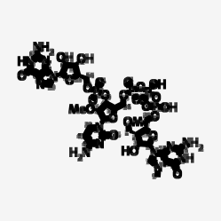 COC[C@H]1[C@@H](O)[C@H](n2c[n+](C)c3c(=O)[nH]c(N)nc32)O[C@@H]1COP(=O)(O)OP(=O)(O)OP(=O)(O)OCC1O[C@@H](n2ccc(N)nc2=O)[C@H](OC)[C@@H]1OP(=O)([O-])OC[C@H]1O[C@@H](n2cnc3c(=O)[nH]c(N)nc32)[C@H](O)[C@@H]1O